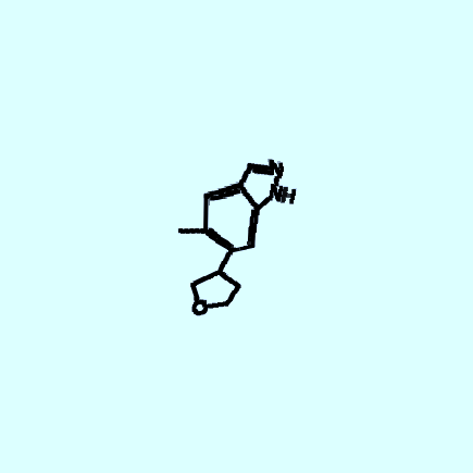 Cc1cc2cn[nH]c2cc1C1CCOC1